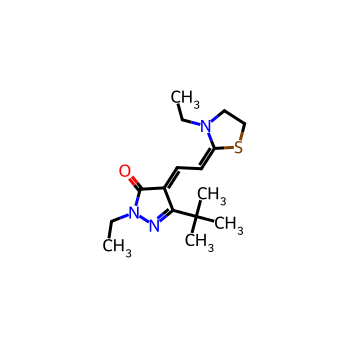 CCN1N=C(C(C)(C)C)/C(=C\C=C2\SCCN2CC)C1=O